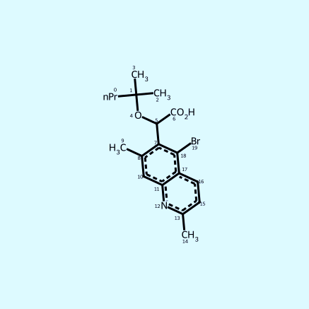 CCCC(C)(C)OC(C(=O)O)c1c(C)cc2nc(C)ccc2c1Br